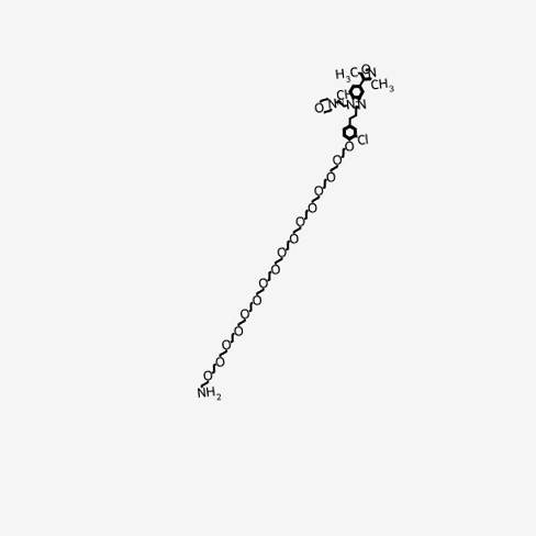 Cc1noc(C)c1-c1ccc2c(c1)nc(CCc1ccc(OCCOCCOCCOCCOCCOCCOCCOCCOCCOCCOCCOCCOCCOCCOCCOCCN)c(Cl)c1)n2C[C@H](C)N1CCOCC1